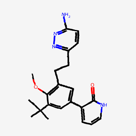 COc1c(CCc2ccc(N)nn2)cc(-c2ccc[nH]c2=O)cc1C(C)(C)C